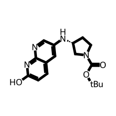 CC(C)(C)OC(=O)N1CC[C@@H](Nc2cnc3nc(O)ccc3c2)C1